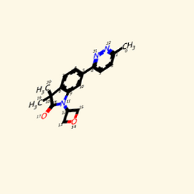 Cc1ccc(-c2ccc3c(c2)N(C2COC2)C(=O)C3(C)C)nn1